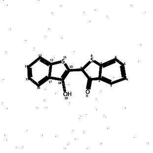 O=C1c2ccccc2SC1c1sc2ccccc2c1O